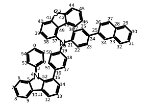 c1ccc(-n2c3ccccc3c3cccc(-c4ccc(N(c5ccc(-c6ccc7ccccc7c6)cc5)c5cccc6sc7ccccc7c56)cc4)c32)cc1